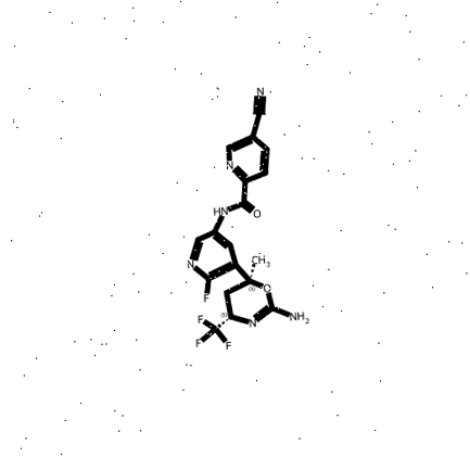 C[C@@]1(c2cc(NC(=O)c3ccc(C#N)cn3)cnc2F)C[C@@H](C(F)(F)F)N=C(N)O1